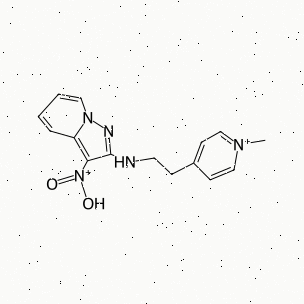 C[n+]1ccc(CCNc2nn3ccccc3c2[N+](=O)O)cc1